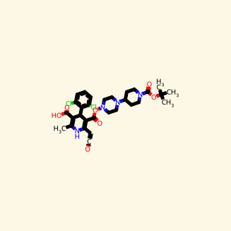 CC1=C(C(=O)O)C(c2c(Cl)cccc2Cl)C(C(=O)ON2CCN(C3CCN(C(=O)OC(C)(C)C)CC3)CC2)=C(C=C=O)N1